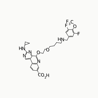 O=C(O)c1ccc2c(c1)nc(OCCOCCCCNCc1cc(F)c(OC(F)(F)F)c(F)c1)c1nc(NC3CC3)ncc12